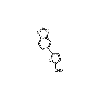 O=Cc1ccc(-c2ccc3ncsc3c2)s1